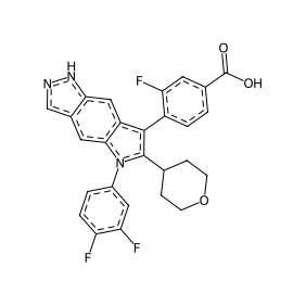 O=C(O)c1ccc(-c2c(C3CCOCC3)n(-c3ccc(F)c(F)c3)c3cc4cn[nH]c4cc23)c(F)c1